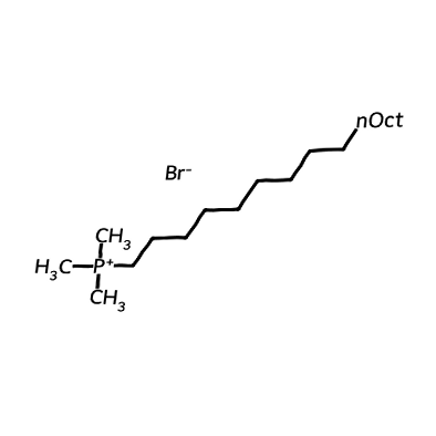 CCCCCCCCCCCCCCCCC[P+](C)(C)C.[Br-]